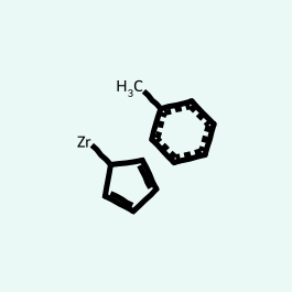 Cc1ccccc1.[Zr][CH]1C=CC=C1